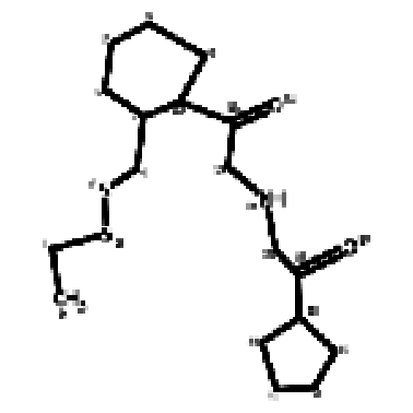 CCSSCC1CCCCC1C(=O)CNCC(=O)C1CCCC1